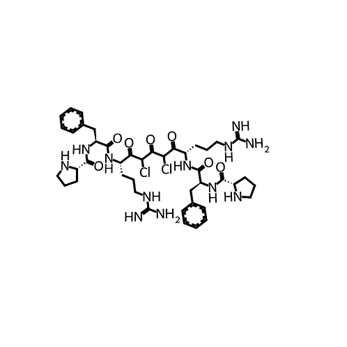 N=C(N)NCCC[C@H](NC(=O)[C@H](Cc1ccccc1)NC(=O)[C@@H]1CCCN1)C(=O)C(Cl)C(=O)C(Cl)C(=O)[C@H](CCCNC(=N)N)NC(=O)[C@H](Cc1ccccc1)NC(=O)[C@@H]1CCCN1